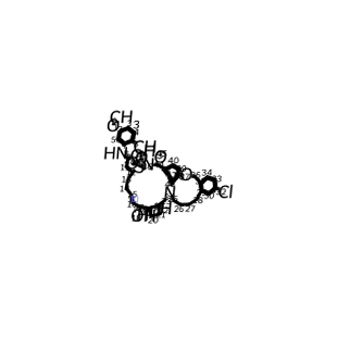 COc1ccc(C)c(NC(=O)CC2CC/C=C/[C@H](O)[C@@H]3CC[C@H]3CN3CCCCc4cc(Cl)ccc4COc4ccc(cc43)C(=O)NS2(=O)=O)c1